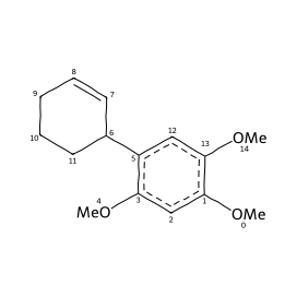 COc1cc(OC)c(C2C=CCCC2)cc1OC